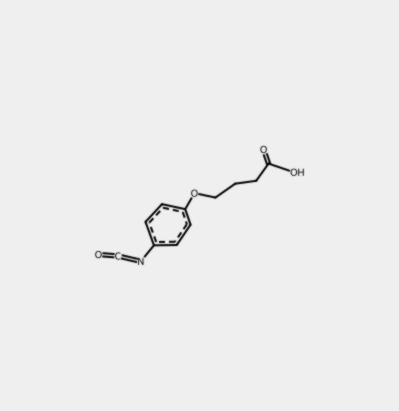 O=C=Nc1ccc(OCCCC(=O)O)cc1